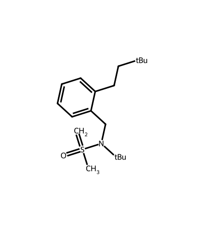 C=S(C)(=O)N(Cc1ccccc1CCC(C)(C)C)C(C)(C)C